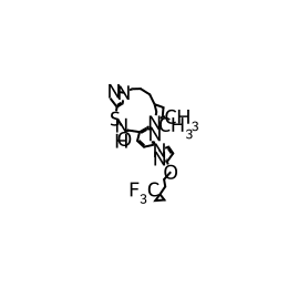 CC1(C)CC2CCCn3cc(cn3)SNC(=O)c3ccc(-n4ccc(OCCC5(C(F)(F)F)CC5)n4)nc3N1C2